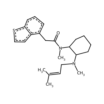 CC(C)=CCN(C)C1CCCCC1N(C)C(=O)Cc1cccc2sccc12